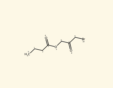 CCCC(=O)OCC(=O)CBr